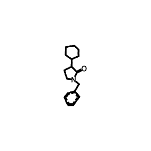 O=C1C(C2CCCCC2)CCN1Cc1ccccc1